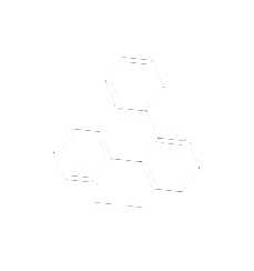 [Cl][Ru][Cl].c1ccc(-c2cccnc2-c2ccccn2)nc1